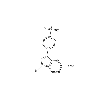 CSc1ncc2c(Br)cc(-c3ccc(S(C)(=O)=O)cc3)n2n1